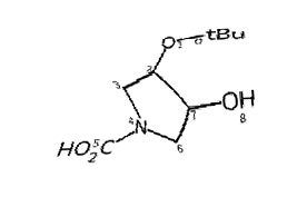 CC(C)(C)OC1CN(C(=O)O)CC1O